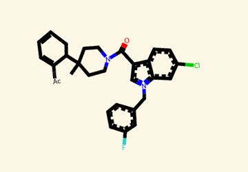 CC(=O)C1=CC=CCC1C1(C)CCN(C(=O)c2cn(Cc3cccc(F)c3)c3cc(Cl)ccc23)CC1